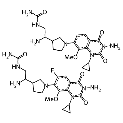 COc1c(N2CCC(C(N)CNC(N)=O)C2)c(F)cc2c(=O)n(N)c(=O)n(C3CC3)c12.COc1c(N2CCC(C(N)CNC(N)=O)C2)ccc2c(=O)n(N)c(=O)n(C3CC3)c12